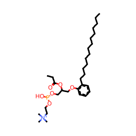 CCCCCCCCCCCCCCc1ccccc1OCC(COP(O)OCC[N+](C)(C)C)OC(=O)CC